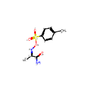 Cc1ccc(S(=O)(=O)ON=C(C#N)C(N)=O)cc1